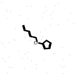 C=CC=C[CH2][Cr][C]1=CC=CC1